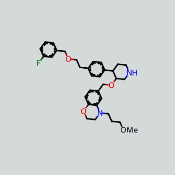 COCCCN1CCOc2ccc(COC3CNCCC3c3ccc(CCOCc4cccc(F)c4)cc3)cc21